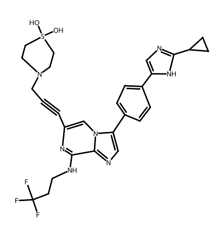 OS1(O)CCN(CC#Cc2cn3c(-c4ccc(-c5cnc(C6CC6)[nH]5)cc4)cnc3c(NCCC(F)(F)F)n2)CC1